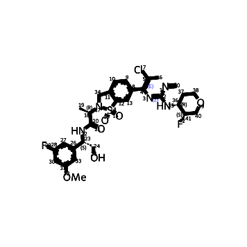 C=N/C(=N\C(=C(/C)Cl)c1ccc2c(c1)S(=O)(=O)N([C@H](C)C(=O)N[C@H](CO)c1cc(F)cc(OC)c1)C2)N[C@@H]1CCOC[C@H]1F